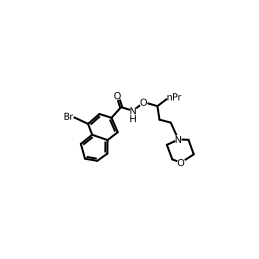 CCCC(CCN1CCOCC1)ONC(=O)c1cc(Br)c2ccccc2c1